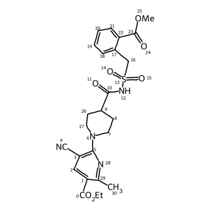 CCOC(=O)c1cc(C#N)c(N2CCC(C(=O)NS(=O)(=O)Cc3ccccc3C(=O)OC)CC2)nc1C